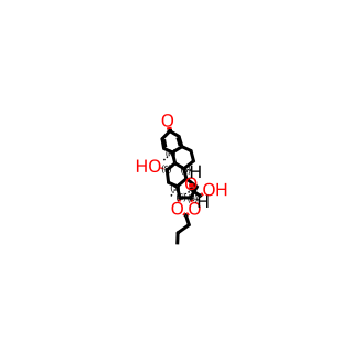 CCCC1O[C@@H]2CC3[C@@H]4CCC5=CC(=O)C=C[C@]5(C)C4[C@@H](O)C[C@]3(C)[C@]2(C(=O)CO)O1